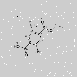 CCOC(=O)c1cc(Br)c(C(=O)O)cc1N